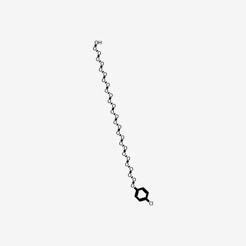 OOOOOOOOOOOOOOOOOOOOOOOOOOOOc1ccc(Cl)cc1